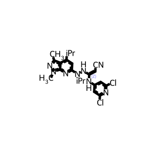 Cc1nn(C)c2nc(N(N/C(=C\C#N)Nc3cc(Cl)nc(Cl)c3)C(C)C)cc(C(C)C)c12